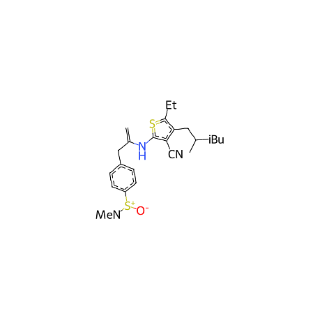 C=C(Cc1ccc([S+]([O-])NC)cc1)Nc1sc(CC)c(CC(C)C(C)CC)c1C#N